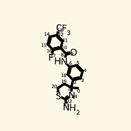 CC1(c2cccc(NC(=O)c3cc(C(F)(F)F)ccc3F)c2)CCSC(N)=N1